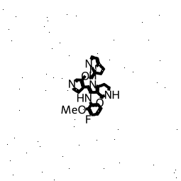 COc1c(F)cccc1Nc1c(-c2ccncc2OCC2CCc3ccnn32)[nH]c2c1C(=O)NCC2